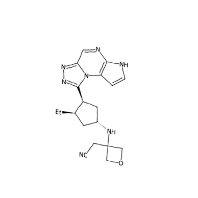 CC[C@@H]1C[C@@H](NC2(CC#N)COC2)C[C@@H]1c1nnc2cnc3[nH]ccc3n12